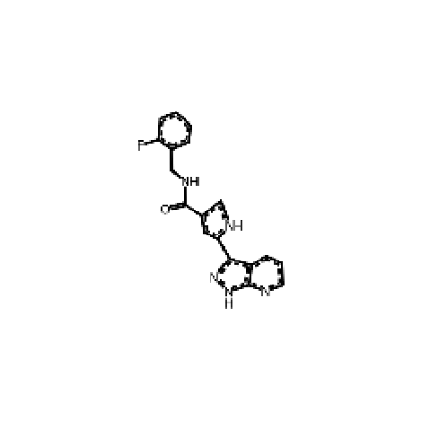 O=C(NCc1ccccc1F)c1c[nH]c(-c2n[nH]c3ncccc23)c1